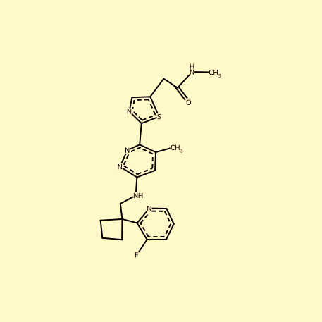 CNC(=O)Cc1cnc(-c2nnc(NCC3(c4ncccc4F)CCC3)cc2C)s1